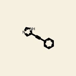 C(#Cc1cnc[nH]1)c1ccccc1